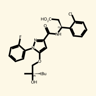 CC(C)(C)[C@@](C)(O)COc1cc(C(=O)N[C@@H](CC(=O)O)c2ccccc2Cl)nn1-c1ccccc1F